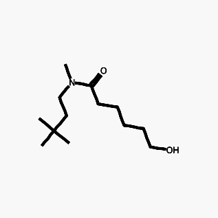 CN(CCC(C)(C)C)C(=O)CCCCCO